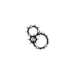 C1CCOCCOCCOC23CCCCC2OCCOCCOC3CC1